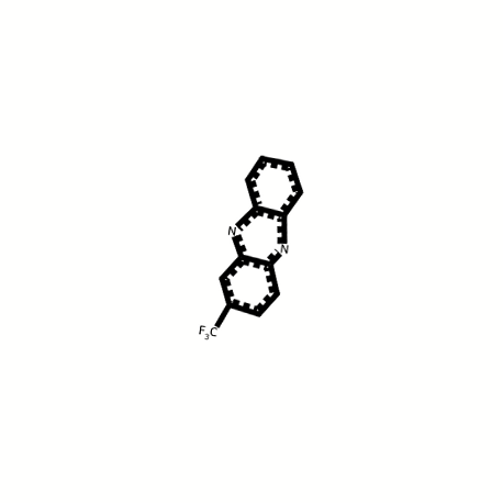 FC(F)(F)c1ccc2nc3ccccc3nc2c1